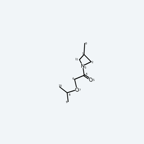 CC1CN(C(=O)COC(C)C)C1